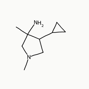 CN1CC(C2CC2)C(C)(N)C1